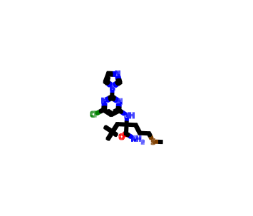 CSCCCC(CC(C)(C)C)(Nc1cc(Cl)nc(-n2ccnc2)n1)C(N)=O